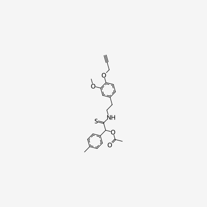 C#CCOc1ccc(CCNC(=S)C(OC(C)=O)c2ccc(C)cc2)cc1OC